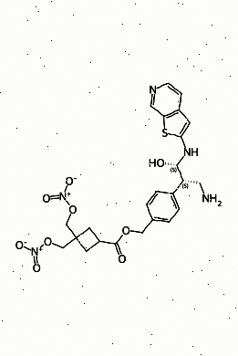 NC[C@H](c1ccc(COC(=O)C2CC(CO[N+](=O)[O-])(CO[N+](=O)[O-])C2)cc1)[C@H](O)Nc1cc2ccncc2s1